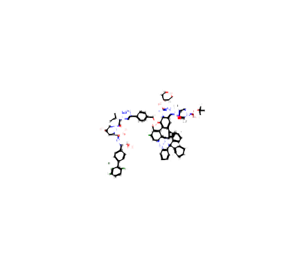 Cc1c(F)cc2nn(C(c3ccccc3)(c3ccccc3)c3ccccc3)cc2c1-c1c(C2CC2)cc2c(N3C[C@@H]4C[C@H]3CN4C(=O)OC(C)(C)C)nc(OC3CCOCC3)nc2c1OCc1ccc(-c2cn([C@H](C(=O)N3C[C@H](O)C[C@H]3C(=O)N[C@@H](CO)c3ccc(-c4c(F)ccc(F)c4F)cc3)C(C)C)nn2)cc1